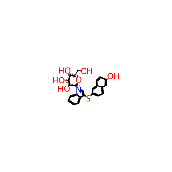 OC[C@H]1O[C@@H](n2cc(Sc3ccc4cc(O)ccc4c3)c3ccccc32)[C@H](O)[C@@H](O)[C@@H]1O